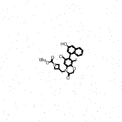 CC(C)(C)OC(=O)N1CC(CN2C(=O)COc3c2cc(Cl)c(-c2cc(O)cc4ccccc24)c3F)C1